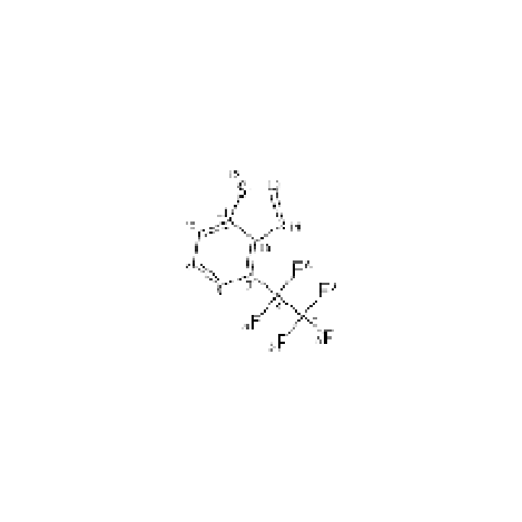 FC(F)(F)C(F)(F)c1cccc2sc[c]c12